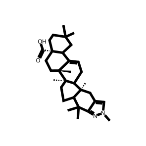 Cn1cc2c(n1)C(C)(C)C1CC[C@]3(C)C(CC=C4C5CC(C)(C)CC[C@]5(C(=O)O)CC[C@]43C)[C@@]1(C)C2